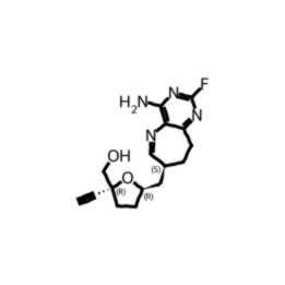 C#C[C@@]1(CO)CC[C@H](C[C@H]2C=Nc3c(N)nc(F)nc3CC2)O1